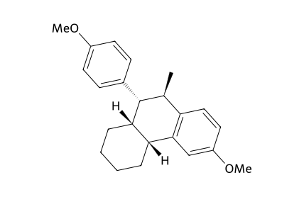 COc1ccc([C@H]2[C@H]3CCCC[C@H]3c3cc(OC)ccc3[C@@H]2C)cc1